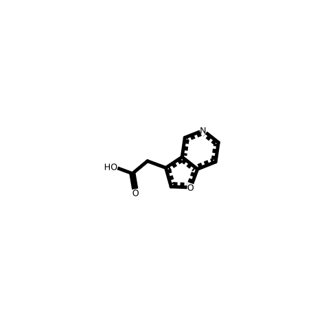 O=C(O)Cc1coc2ccncc12